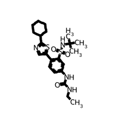 CCNC(=O)Nc1ccc(-c2cnc(C3CCCCC3)s2)c(S(=O)(=O)NC(C)(C)C)c1